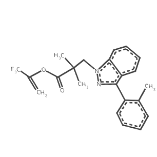 C=C(OC(=O)C(C)(C)Cn1nc(-c2ccccc2C)c2ccccc21)C(F)(F)F